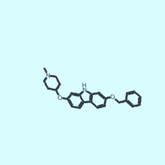 CN1CCC(Oc2ccc3c(c2)[nH]c2cc(OCc4ccccc4)ccc23)CC1